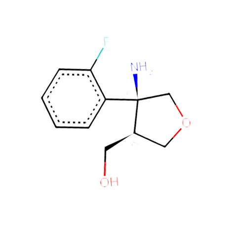 N[C@@]1(c2ccccc2F)COC[C@H]1CO